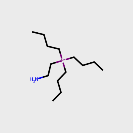 CCCC[P+](CCN)(CCCC)CCCC